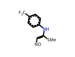 CSC(=CN=O)Nc1ccc(C(F)(F)F)cc1